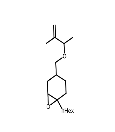 C=C(C)C(C)OCC1CCC2(CCCCCC)OC2C1